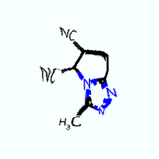 Cc1nnc2n1C(C#N)C(C#N)=C2